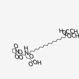 CC(C)(C)OC(=O)CCCCCCCCCCCCCCCCC(=O)N[C@@H](CCC(=O)O)C(=O)ON1C(=O)CCC1=O